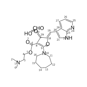 CN(C)CCOC(=O)C1=C(N2CCCCCC2)OC(=Cc2c[nH]c3ncccc23)C1=O.O=CO